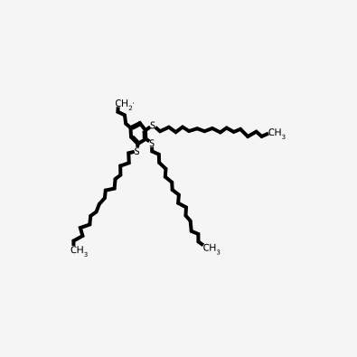 [CH2]CCCc1cc(SCCCCCCCCCCCCCCCC)c(SCCCCCCCCCCCCCCCC)c(SCCCCCCCCCCCCCCCC)c1